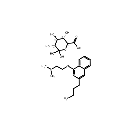 CCCCc1cc2ccccc2c(OCCN(C)C)n1.O=C(O)[C@H]1OC(O)(O)[C@H](O)[C@@H](O)[C@@H]1O